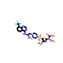 Cc1nc(N(C)C(=O)O)sc1S(=O)(=O)N1CCN(C[C@H](C)Nc2ncnc3c(C(F)(F)F)cccc23)CC1